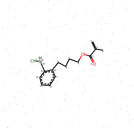 C=C(C)C(=O)OCCCCc1ccccc1[SiH2]Cl